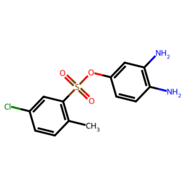 Cc1ccc(Cl)cc1S(=O)(=O)Oc1ccc(N)c(N)c1